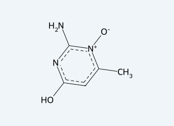 Cc1cc(O)nc(N)[n+]1[O-]